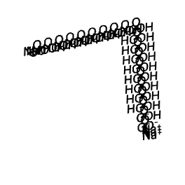 O=C(O)O.O=C(O)O.O=C(O)O.O=C(O)O.O=C(O)O.O=C(O)O.O=C(O)O.O=C(O)O.O=C(O)O.O=C(O)O.O=C(O)O.O=C(O)O.O=C(O)O.O=C(O)O.O=C(O)O.O=C(O)O.O=C(O)O.O=C([O-])O.O=C([O-])[O-].O=C([O-])[O-].[Na+].[Na+].[Na+].[Na+].[Na+]